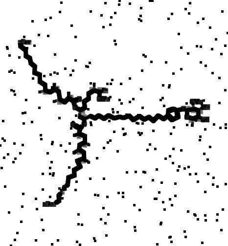 CCCCCCCCCCCCCCCCCCCC[C@@H](C)C[C@@H](C)C[C@@H](C)C[C@@H](C)C(=O)O[C@H](CCCCCCCCCCCCCCCCc1ccc(O[C@@H]2O[C@@H](C)[C@H](O)[C@@H](O)[C@H]2OC)cc1)C[C@@H](CCCC[C@H](C)[C@@H](CC)OC)OC(=O)[C@H](C)C[C@H](C)C[C@H](C)C[C@H](C)CCCCCCCCCCCCCCCCCCCC